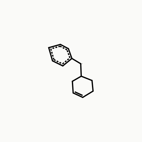 [CH](c1ccccc1)C1CC=CCC1